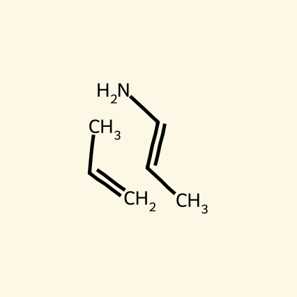 C/C=C/N.C=CC